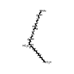 [CH2]C(=O)NCCNC(=O)COCCOCCNC(=O)COCCOCCNC(=O)CC[C@H](NC(=O)CCCCCCCCCCCCCCC(=O)O)C(=O)O